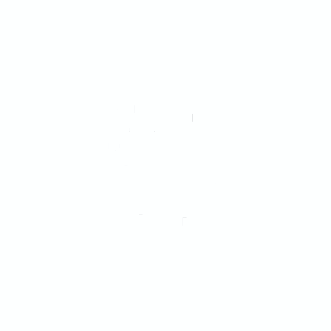 OB(O)Oc1c(F)c(F)c(F)c2c(F)cccc12.[LiH]